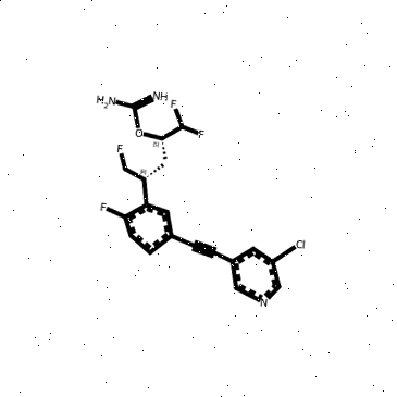 N=C(N)O[C@@H](C[C@@H](CF)c1cc(C#Cc2cncc(Cl)c2)ccc1F)C(F)F